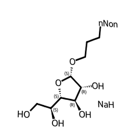 CCCCCCCCCCCCO[C@H]1O[C@@H]([C@@H](O)CO)[C@H](O)[C@H]1O.[NaH]